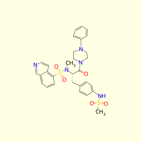 CN([C@@H](Cc1ccc(NS(C)(=O)=O)cc1)C(=O)N1CCN(c2ccccc2)CC1)S(=O)(=O)c1cccc2cnccc12